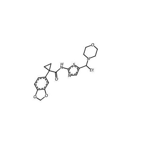 CCC(c1cnc(NC(=O)C2(c3ccc4c(c3)OCO4)CC2)s1)N1CCOCC1